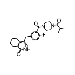 CC(C)C(=O)N1CCN(C(=O)c2cc(Cc3n[nH]c(=O)c4c3CCCC4)ccc2F)CC1